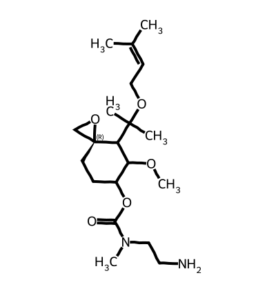 COC1C(OC(=O)N(C)CCN)CC[C@]2(CO2)C1C(C)(C)OCC=C(C)C